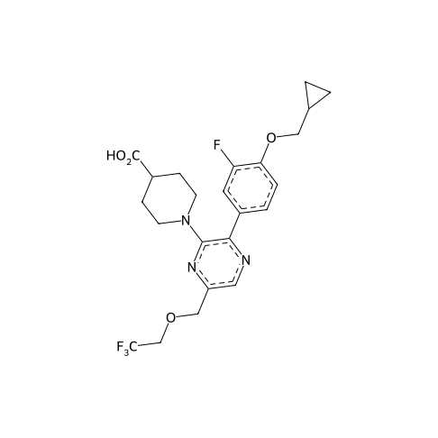 O=C(O)C1CCN(c2nc(COCC(F)(F)F)cnc2-c2ccc(OCC3CC3)c(F)c2)CC1